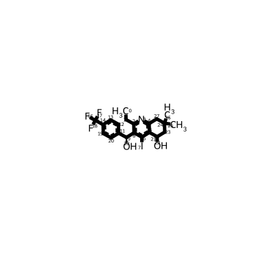 CCc1nc2c(c(I)c1[C@@H](O)c1ccc(C(F)(F)F)cc1)C(O)CC(C)(C)C2